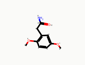 COc1ccc(OC)c(CC(N)=O)c1